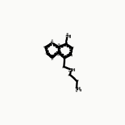 NCCNCc1ccc(O)c2ncccc12